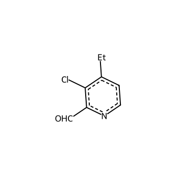 CCc1ccnc(C=O)c1Cl